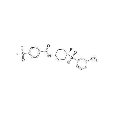 CS(=O)(=O)c1ccc(C(=O)N[C@H]2CC[C@](F)(S(=O)(=O)c3cccc(C(F)(F)F)c3)CC2)cc1